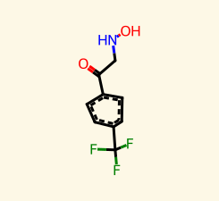 O=C(CNO)c1ccc(C(F)(F)F)cc1